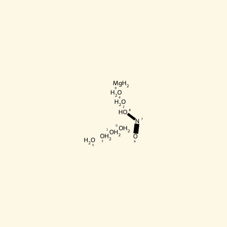 O.O.O.O.O.O.O=NO.[MgH2]